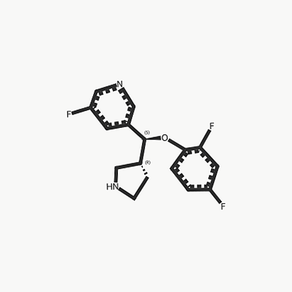 Fc1cncc([C@@H](Oc2ccc(F)cc2F)[C@@H]2CCNC2)c1